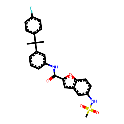 CC(C)(c1ccc(F)cc1)c1cccc(NC(=O)c2cc3cc(NS(C)(=O)=O)ccc3o2)c1